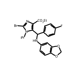 CCOC(=O)c1nc(Br)n(C(C)C)c1C(Nc1ccc2c(c1)OCO2)c1ccc(F)cc1